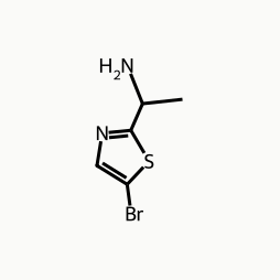 CC(N)c1ncc(Br)s1